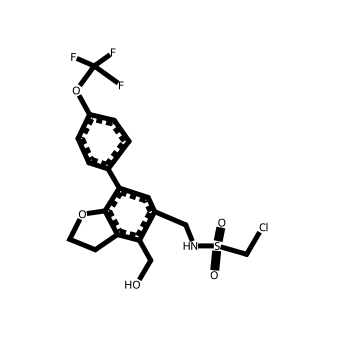 O=S(=O)(CCl)NCc1cc(-c2ccc(OC(F)(F)F)cc2)c2c(c1CO)CCO2